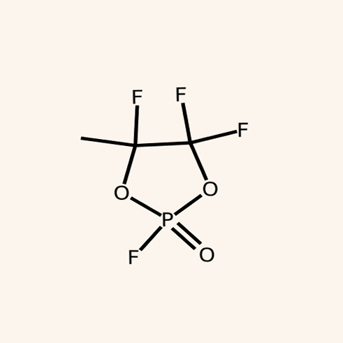 CC1(F)OP(=O)(F)OC1(F)F